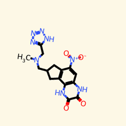 CN(Cc1nnn[nH]1)CC1Cc2c([N+](=O)[O-])cc3[nH]c(=O)c(=O)[nH]c3c2C1